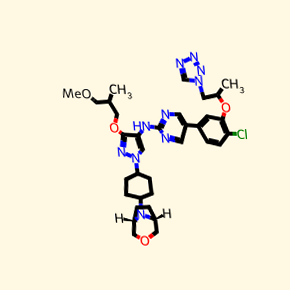 COCC(C)COc1nn(C2CCC(N3[C@@H]4CC[C@H]3COC4)CC2)cc1Nc1ncc(-c2ccc(Cl)c(OC(C)Cn3cnnn3)c2)cn1